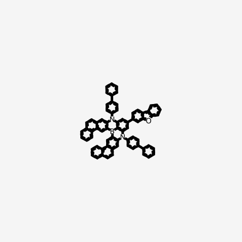 c1ccc(-c2ccc(N3c4cc5ccc6ccccc6c5cc4B4c5cc6c(ccc7ccccc76)cc5N(c5ccc(-c6ccccc6)cc5)c5cc(-c6ccc7c(c6)oc6ccccc67)cc3c54)cc2)cc1